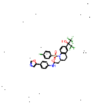 O=C(C[C@@H]1CCc2cc(C(O)(C(F)(F)F)C(F)(F)F)ccc2N1S(=O)(=O)c1ccc(F)cc1)Nc1ccc(-c2cnco2)cc1